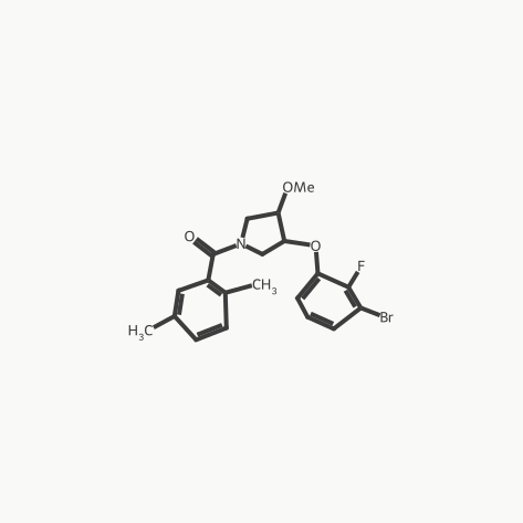 COC1CN(C(=O)c2cc(C)ccc2C)CC1Oc1cccc(Br)c1F